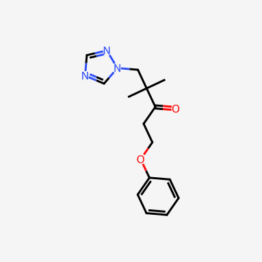 CC(C)(Cn1cncn1)C(=O)CCOc1ccccc1